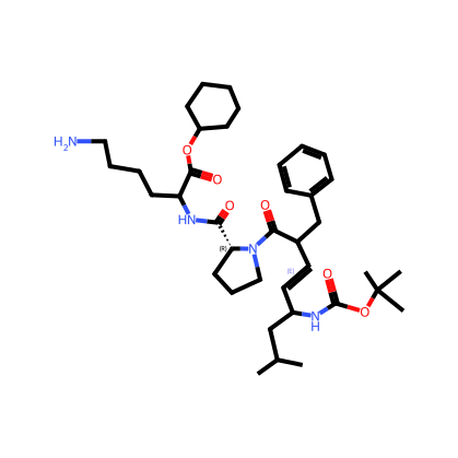 CC(C)CC(/C=C/C(Cc1ccccc1)C(=O)N1CCC[C@@H]1C(=O)NC(CCCCN)C(=O)OC1CCCCC1)NC(=O)OC(C)(C)C